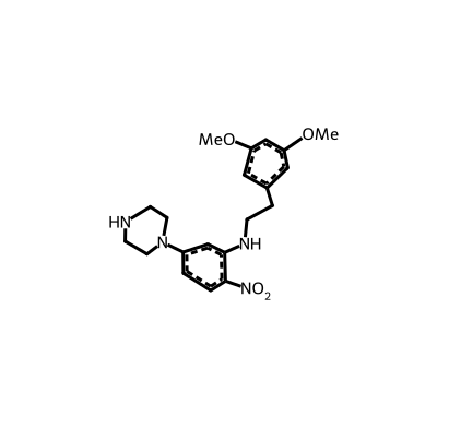 COc1cc(CCNc2cc(N3CCNCC3)ccc2[N+](=O)[O-])cc(OC)c1